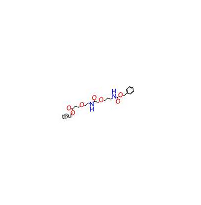 CC(C)(C)OC(=O)CCOCCNC(=O)COCCCNC(=O)OCc1ccccc1